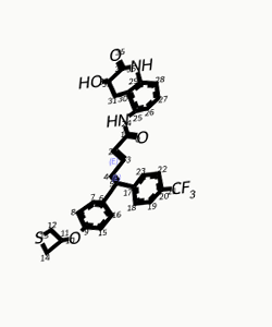 O=C(/C=C/C=C(/c1ccc(OC2CSC2)cc1)c1ccc(C(F)(F)F)cc1)Nc1cccc2c1CC(O)C(=O)N2